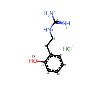 Cl.N=C(N)NCCc1ccccc1O